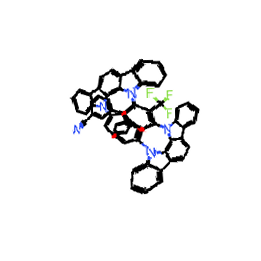 N#Cc1cccc(-c2ccc(-n3c4ccccc4c4ccc5c6ccccc6n(-c6ccccc6)c5c43)c(C(F)(F)F)c2-n2c3ccccc3c3ccc4c5ccccc5n(-c5ccccc5)c4c32)c1